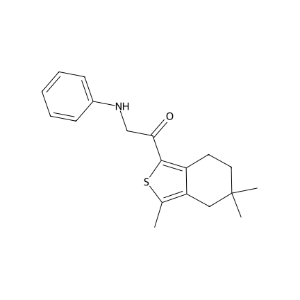 Cc1sc(C(=O)CNc2ccccc2)c2c1CC(C)(C)CC2